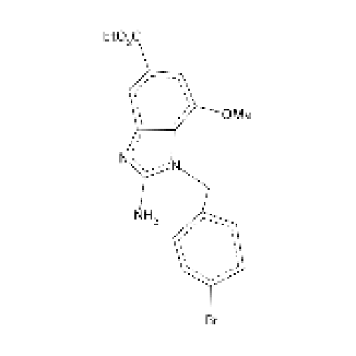 CCOC(=O)c1cc(OC)c2c(c1)nc(N)n2Cc1ccc(Br)cc1